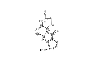 Cc1nc2c(N)cccc2c(=O)n1C1CCC(=O)NC1=O